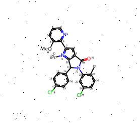 COc1cccnc1-c1cc2c(n1C(C)C)C(c1ccc(Cl)cc1)N(c1cc(Cl)ccc1C)C2=O